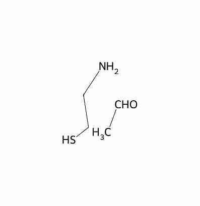 CC=O.NCCS